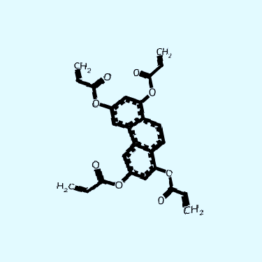 C=CC(=O)Oc1cc(OC(=O)C=C)c2ccc3c(OC(=O)C=C)cc(OC(=O)C=C)cc3c2c1